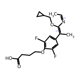 C/C=N\C(OCC1CC1)=C(/C)c1cc(F)c(OCCCC(=O)O)c(F)c1